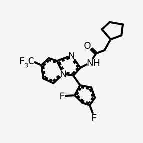 O=C(CC1CCCC1)Nc1nc2cc(C(F)(F)F)ccn2c1-c1ccc(F)cc1F